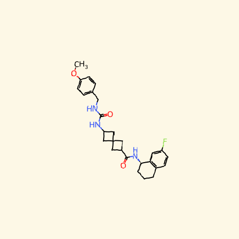 COc1ccc(CNC(=O)NC2CC3(C2)CC(C(=O)N[C@@H]2CCCc4ccc(F)cc42)C3)cc1